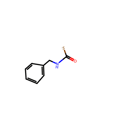 O=C([S])NCc1ccccc1